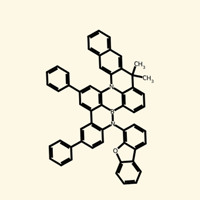 CC1(C)c2cc3ccccc3cc2N2c3cc(-c4ccccc4)cc4c3B(c3cccc1c32)N(c1cccc2c1oc1ccccc12)c1ccc(-c2ccccc2)cc1-4